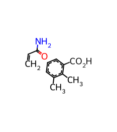 C=CC(N)=O.Cc1cccc(C(=O)O)c1C